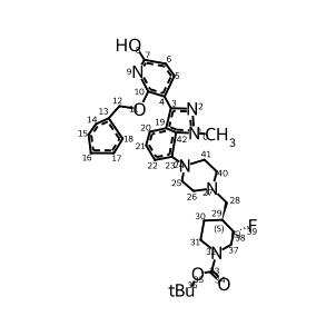 Cn1nc(-c2ccc(O)nc2OCc2ccccc2)c2cccc(N3CCN(C[C@@H]4CCN(C(=O)OC(C)(C)C)C[C@H]4F)CC3)c21